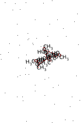 CCC1CC(CCCC(O)CC(O)CC(CCCC2CC(CCCC(O)CC3C[C@H](C)OC(c4cc(C)ccc4O)O3)OC(c3cc(C)ccc3O)O2)OC(=O)NCc2ccc(C)cc2)OC(c2cc(C)ccc2O)O1